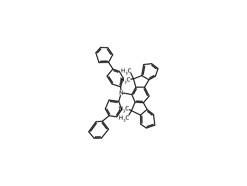 CC1(C)c2ccccc2-c2cc3c(c(N(c4ccc(-c5ccccc5)cc4)c4ccc(-c5ccccc5)cc4)c21)C(C)(C)c1ccccc1-3